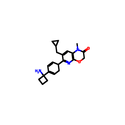 CN1C(=O)COc2nc(C3C=CC(C4(N)CCC4)=CC3)c(CC3CC3)cc21